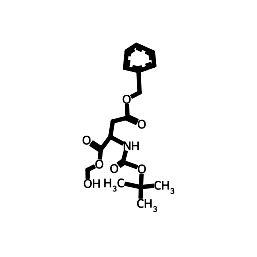 CC(C)(C)OC(=O)NC(CC(=O)OCc1ccccc1)C(=O)OCO